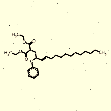 CCCCCCCCCCCC=CC(CC(C(=O)OCC)C(=O)OCC)Oc1ccccc1